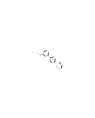 CSNCc1cccc(-c2ccc(N3CCC=CC3=O)cc2)c1